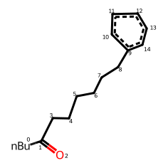 CCCCC(=O)CCCCCCc1ccccc1